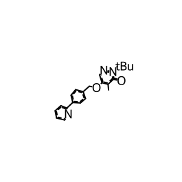 Cc1c(OCc2ccc(-c3ccccn3)cc2)cnn(C(C)(C)C)c1=O